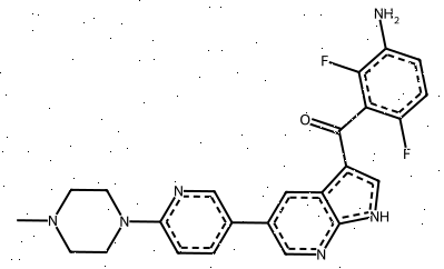 CN1CCN(c2ccc(-c3cnc4[nH]cc(C(=O)c5c(F)ccc(N)c5F)c4c3)cn2)CC1